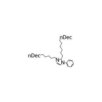 CCCCCCCCCCCCCCCCC1N(CCCCCCCCCCCCCCC)C=CN1c1ccccc1